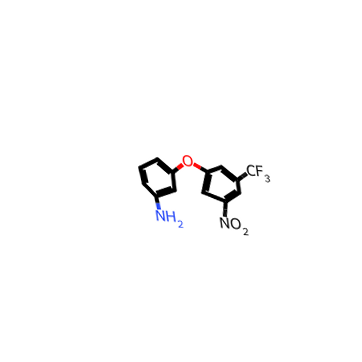 Nc1cccc(Oc2cc([N+](=O)[O-])cc(C(F)(F)F)c2)c1